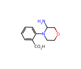 NC1COCCN1c1ccccc1C(=O)O